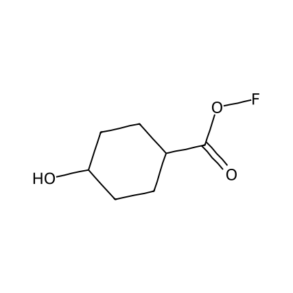 O=C(OF)C1CCC(O)CC1